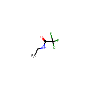 O=C(NCC(F)(F)F)C(F)(F)Cl